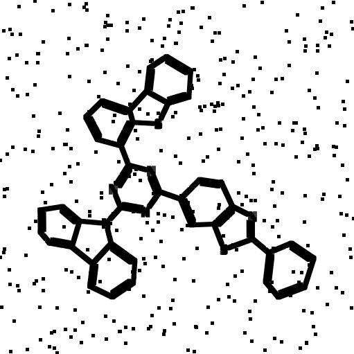 c1ccc(-c2nc3ccc(-c4nc(-c5cccc6c5sc5ccccc56)nc(-n5c6ccccc6c6ccccc65)n4)cc3s2)cc1